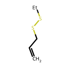 C=CCSSCC